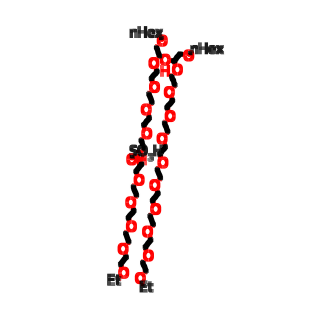 CCCCCCOCC(O)OCCOCCOCCOCCOCCOCCOCCOCCOCCOCC.CCCCCCOCCOCCOCCOCCOCCOCCOCCOCCOCCOCCOCC.O=S(=O)(O)O